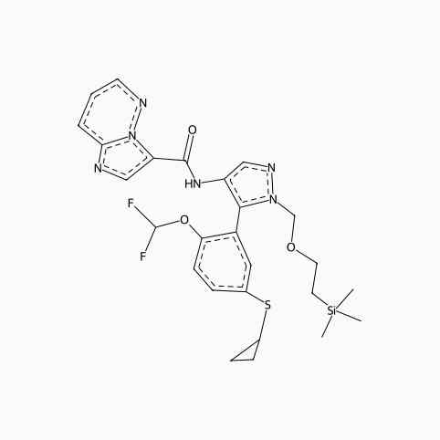 C[Si](C)(C)CCOCn1ncc(NC(=O)c2cnc3cccnn23)c1-c1cc(SC2CC2)ccc1OC(F)F